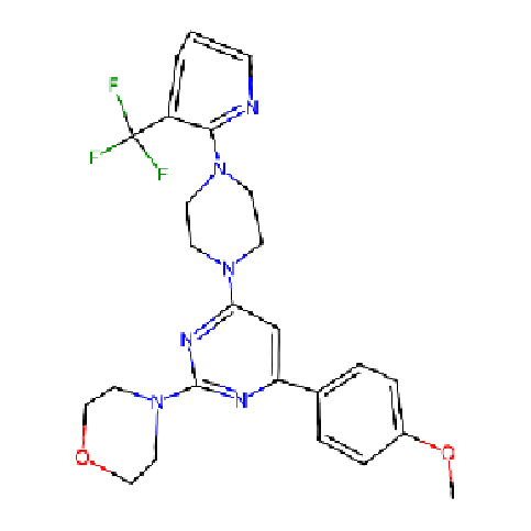 COc1ccc(-c2cc(N3CCN(c4ncccc4C(F)(F)F)CC3)nc(N3CCOCC3)n2)cc1